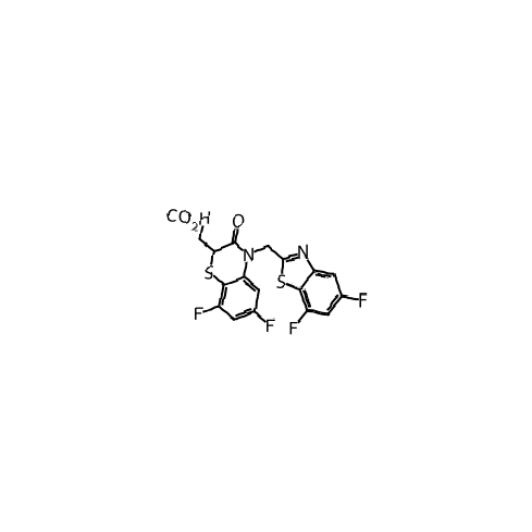 O=C(O)CC1Sc2c(F)cc(F)cc2N(Cc2nc3cc(F)cc(F)c3s2)C1=O